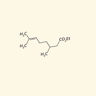 CCOC(=O)CC(C)CCC=C(C)C